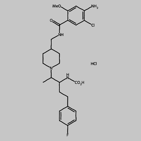 COc1cc(N)c(Cl)cc1C(=O)NCC1CCN(C(C)C(CCc2ccc(F)cc2)NC(=O)O)CC1.Cl